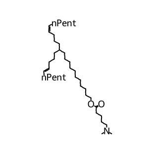 CCCCCC=CCCCC(CCC/C=C\CCCCC)CCCCCCCCCCCOC(=O)CCCCN(C)C